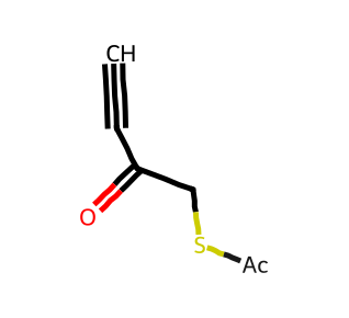 C#CC(=O)CSC(C)=O